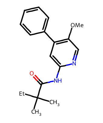 CCC(C)(C)C(=O)Nc1cc(-c2ccccc2)c(OC)cn1